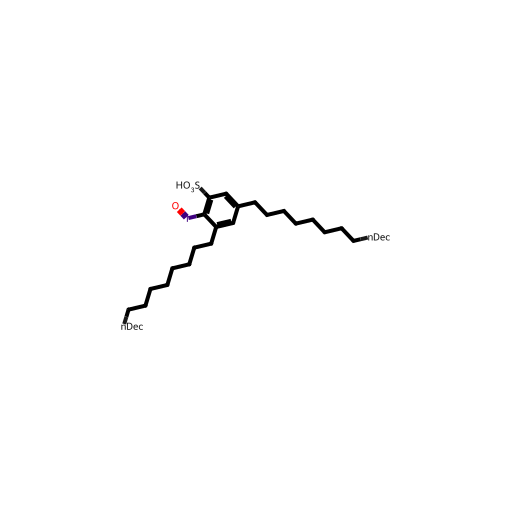 CCCCCCCCCCCCCCCCCCc1cc(CCCCCCCCCCCCCCCCCC)c(I=O)c(S(=O)(=O)O)c1